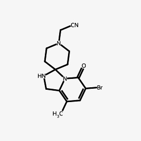 Cc1cc(Br)c(=O)n2c1CNC21CCN(CC#N)CC1